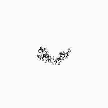 CC1CN(c2cccc(OCc3ccc(C#N)cc3F)n2)CCN1[C@@H](C)c1nc2ccc(C(=O)O)cc2n1CC1CCO1